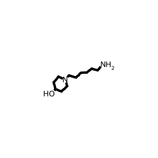 NCCCCCCN1CCC(O)CC1